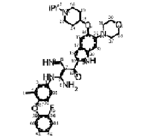 Cc1cc(N/C(N)=C(\C=N)C(=O)c2cc3cc(OC4CCN(C(C)C)CC4)c(N4CCOCC4)cc3[nH]2)ccc1Oc1ccccc1F